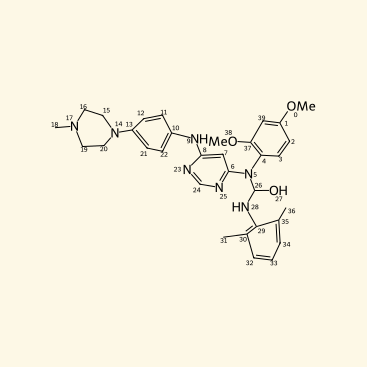 COc1ccc(N(c2cc(Nc3ccc(N4CCN(C)CC4)cc3)ncn2)C(O)Nc2c(C)cccc2C)c(OC)c1